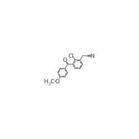 COc1ccc(C(=O)c2cccc(CC#N)c2Cl)cc1